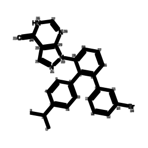 CC(C)c1ccc(-c2c(-c3cccc(Br)c3)cccc2-n2ncc3c(=O)[nH]cnc32)cc1